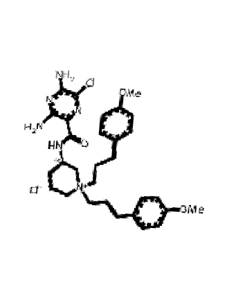 COc1ccc(CCC[N+]2(CCCc3ccc(OC)cc3)CCC[C@@H](NC(=O)c3nc(Cl)c(N)nc3N)C2)cc1.[Cl-]